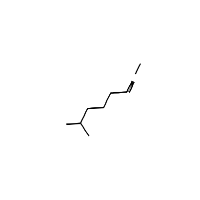 C/B=C\CCCC(C)C(C)C